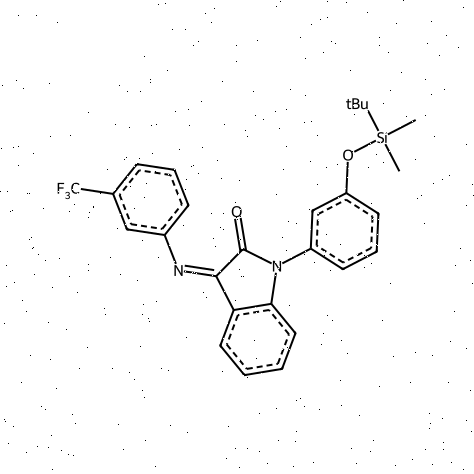 CC(C)(C)[Si](C)(C)Oc1cccc(N2C(=O)C(=Nc3cccc(C(F)(F)F)c3)c3ccccc32)c1